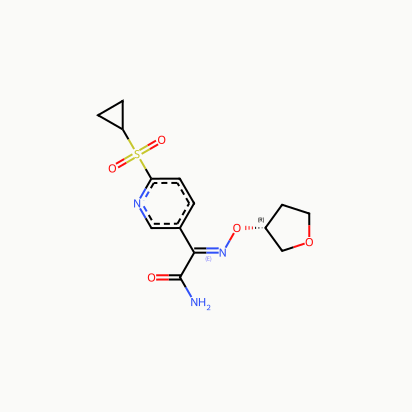 NC(=O)/C(=N/O[C@@H]1CCOC1)c1ccc(S(=O)(=O)C2CC2)nc1